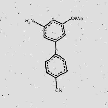 COc1cc(-c2ccc(C#N)cc2)cc(N)n1